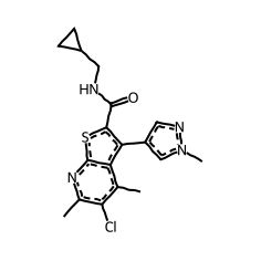 Cc1nc2sc(C(=O)NCC3CC3)c(-c3cnn(C)c3)c2c(C)c1Cl